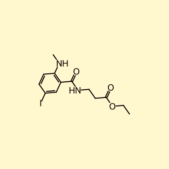 CCOC(=O)CCNC(=O)c1cc(I)ccc1NC